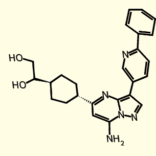 Nc1cc([C@H]2CC[C@H](C(O)CO)CC2)nc2c(-c3ccc(-c4ccccc4)nc3)cnn12